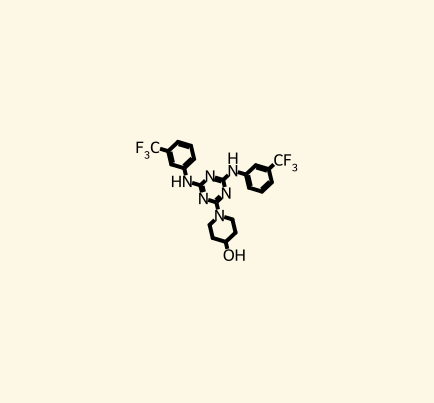 OC1CCN(c2nc(Nc3cccc(C(F)(F)F)c3)nc(Nc3cccc(C(F)(F)F)c3)n2)CC1